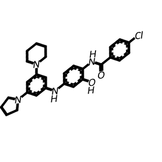 O=C(Nc1ccc(Nc2cc(N3CCCCC3)cc(N3CCCC3)c2)cc1O)c1ccc(Cl)cc1